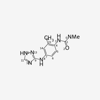 CNC(=O)Nc1ccc(Nc2nc[nH]n2)cc1C